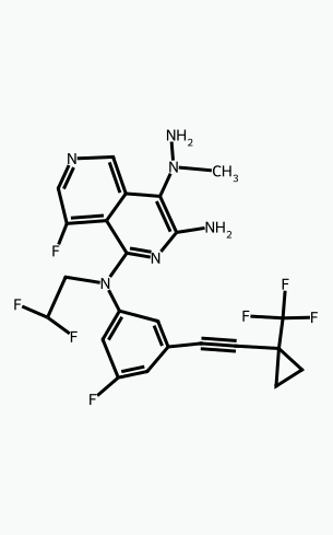 CN(N)c1c(N)nc(N(CC(F)F)c2cc(F)cc(C#CC3(C(F)(F)F)CC3)c2)c2c(F)cncc12